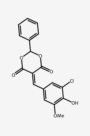 COc1cc(C=C2C(=O)OC(c3ccccc3)OC2=O)cc(Cl)c1O